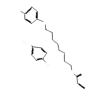 C=CC(=O)OCCCCCCCCOc1ccc(C(=O)O)cc1.COc1ccc(N)cc1